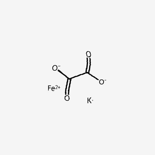 O=C([O-])C(=O)[O-].[Fe+2].[K]